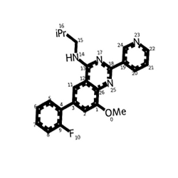 COc1cc(-c2ccccc2F)cc2c(NCC(C)C)nc(-c3cccnc3)nc12